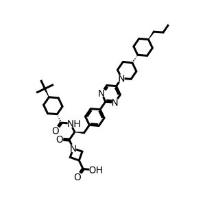 CCC[C@H]1CC[C@H](C2CCN(c3cnc(-c4ccc(C[C@H](NC(=O)[C@H]5CC[C@H](C(C)(C)C)CC5)C(=O)N5CC(C(=O)O)C5)cc4)nc3)CC2)CC1